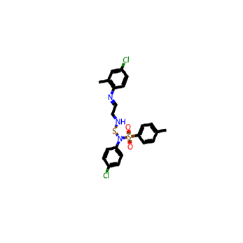 Cc1ccc(S(=O)(=O)N(SNCC=Nc2ccc(Cl)cc2C)c2ccc(Cl)cc2)cc1